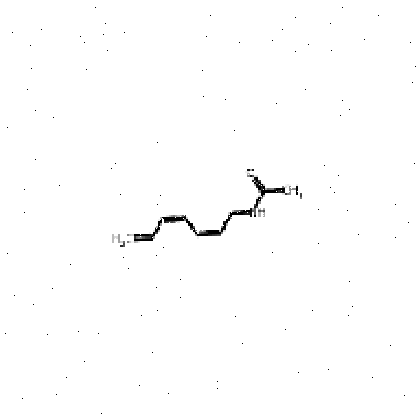 C=C/C=C\C=C/CNC(C)=O